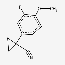 COc1ccc(C2(C#N)CC2)cc1F